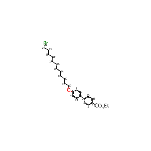 CCOC(=O)c1ccc(-c2ccc(OCCCCCCCCCCCCBr)cc2)cc1